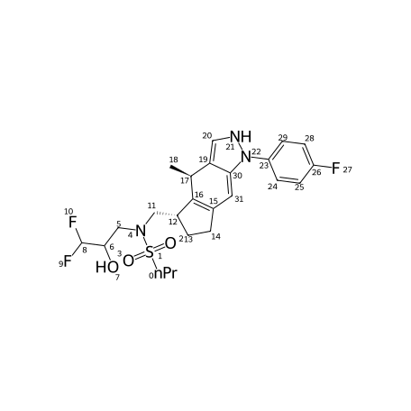 CCCS(=O)(=O)N(CC(O)C(F)F)C[C@H]1CCC2=C1[C@@H](C)C1=CNN(c3ccc(F)cc3)C1=C2